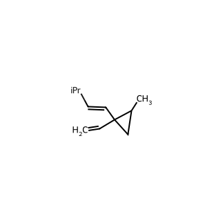 C=CC1(C=CC(C)C)CC1C